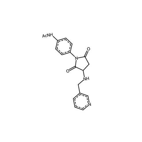 CC(=O)Nc1ccc(N2C(=O)CC(NCc3cccnc3)C2=O)cc1